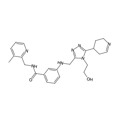 Cc1cccnc1CNC(=O)c1cccc(NCc2nnc(C3CC=NCC3)n2CCO)c1